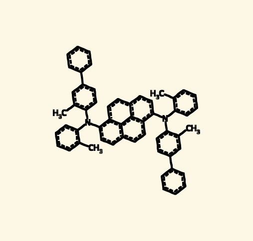 Cc1ccccc1N(c1ccc(-c2ccccc2)cc1C)c1ccc2ccc3c(N(c4ccccc4C)c4ccc(-c5ccccc5)cc4C)ccc4ccc1c2c43